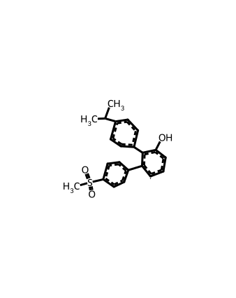 CC(C)c1ccc(-c2c(-c3ccc(S(C)(=O)=O)cc3)[c]ccc2O)cc1